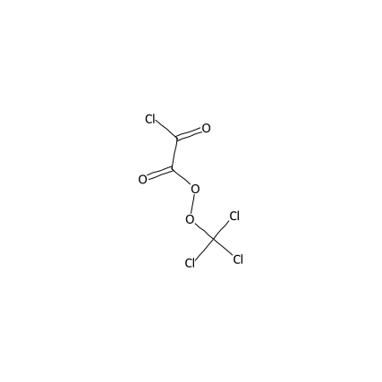 O=C(Cl)C(=O)OOC(Cl)(Cl)Cl